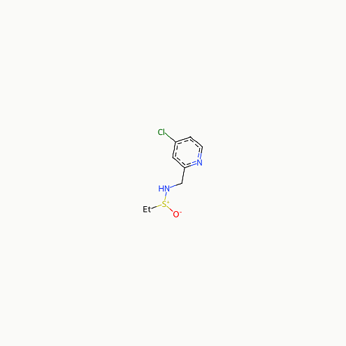 CC[S+]([O-])NCc1cc(Cl)ccn1